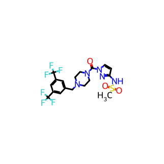 CS(=O)(=O)Nc1ccn(C(=O)N2CCN(Cc3cc(C(F)(F)F)cc(C(F)(F)F)c3)CC2)n1